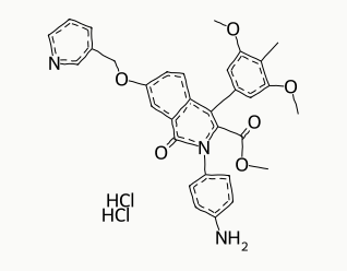 COC(=O)c1c(-c2cc(OC)c(C)c(OC)c2)c2ccc(OCc3cccnc3)cc2c(=O)n1-c1ccc(N)cc1.Cl.Cl